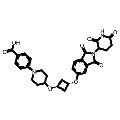 O=C1CCC(N2C(=O)c3ccc(O[C@H]4C[C@H](OC5CCN(c6ccc(C(=O)O)cc6)CC5)C4)cc3C2=O)C(=O)N1